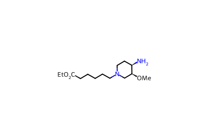 CCOC(=O)CCCCCN1CC[C@@H](N)[C@@H](OC)C1